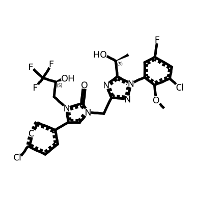 COc1c(Cl)cc(F)cc1-n1nc(Cn2cc(-c3ccc(Cl)cc3)n(C[C@H](O)C(F)(F)F)c2=O)nc1[C@H](C)O